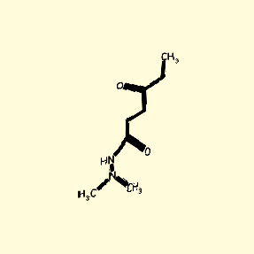 CCC(=O)CCC(=O)NN(C)C